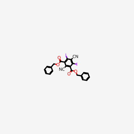 N#Cc1c(I)c(C(=O)OCc2ccccc2)c(C#N)c(C(=O)OCc2ccccc2)c1I